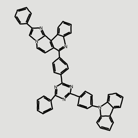 c1ccc(-c2cn3ccc4c(-c5ccc(-c6nc(-c7ccccc7)nc(-c7ccc(-n8c9ccccc9c9ccccc98)cc7)n6)cc5)nc5ccccc5c4c3n2)cc1